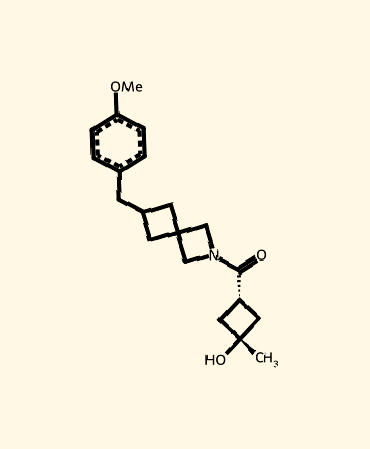 COc1ccc(CC2CC3(C2)CN(C(=O)[C@H]2C[C@@](C)(O)C2)C3)cc1